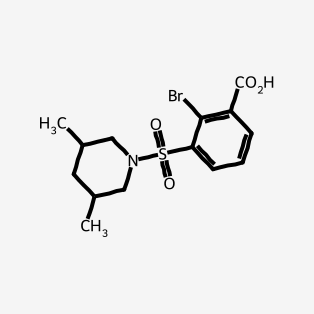 CC1CC(C)CN(S(=O)(=O)c2cccc(C(=O)O)c2Br)C1